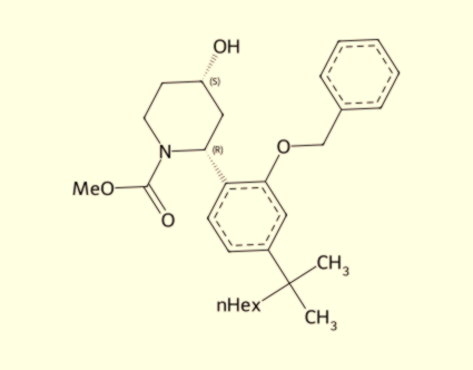 CCCCCCC(C)(C)c1ccc([C@H]2C[C@@H](O)CCN2C(=O)OC)c(OCc2ccccc2)c1